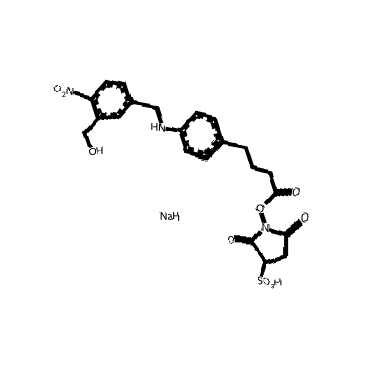 O=C(CCCc1ccc(NCc2ccc([N+](=O)[O-])c(CO)c2)cc1)ON1C(=O)CC(S(=O)(=O)O)C1=O.[NaH]